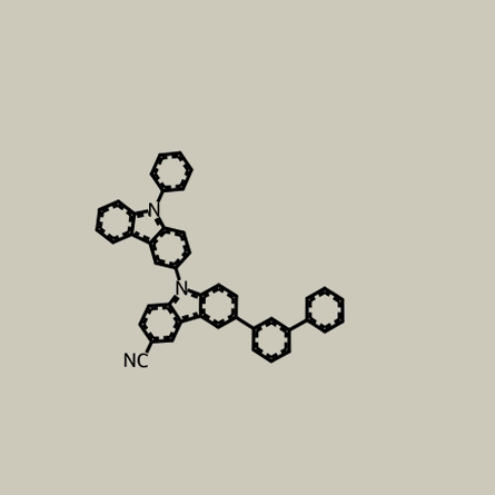 N#Cc1ccc2c(c1)c1cc(-c3cccc(-c4ccccc4)c3)ccc1n2-c1ccc2c(c1)c1ccccc1n2-c1ccccc1